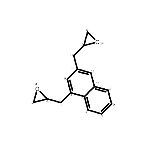 c1ccc2c(CC3CO3)cc(CC3CO3)cc2c1